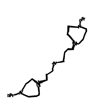 CCCN1CCN(CCC[N]CCCN2CCN(CCC)CC2)CC1